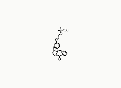 CC(C)(C)[Si](C)(C)OCCOc1ccc(C23Cn4cccc4C(=O)N2CCN3)cc1